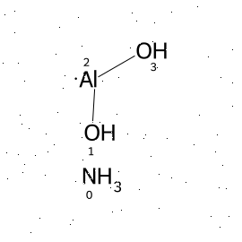 N.[OH][Al][OH]